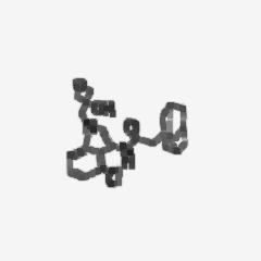 O=C(CC12CC3CC(CC(C3)C1)C2)Nc1cn(CC2(O)COC2)c2cccc(Cl)c12